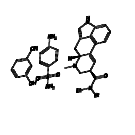 CCN(CC)C(=O)[C@@H]1C=C2c3cccc4[nH]cc(c34)C[C@H]2N(C)C1.Nc1ccc(S(N)(=O)=O)cc1.Oc1cccc(O)c1